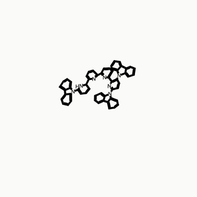 C1=CC(c2cccc(-c3cccc(-c4nc(-n5c6ccccc6c6ccccc65)ccc4-n4c5ccccc5c5ccccc54)n3)n2)NC(n2c3ccccc3c3ccccc32)=C1